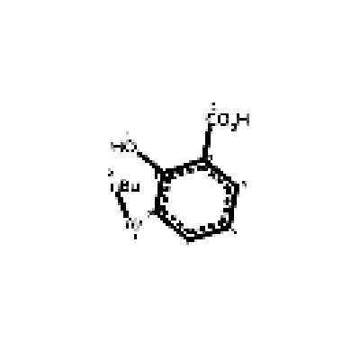 CCC[CH2][Al].O=C(O)c1ccccc1O